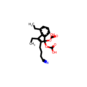 CCC1=C(CCCC#N)C(OC(=O)O)(OC(=O)O)c2cccc(CC)c21